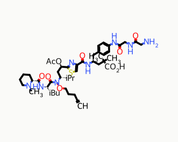 C#CCCCON(C(=O)[C@@H](NC(=O)[C@H]1CCCCN1C)[C@@H](C)CC)[C@H](C[C@@H](OC(C)=O)c1nc(C(=O)N[C@@H](Cc2ccc(NC(=O)CNC(=O)CN)cc2)CC(C)(C)C(=O)O)cs1)C(C)C